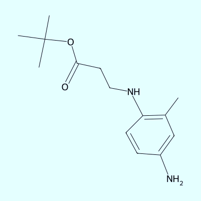 Cc1cc(N)ccc1NCCC(=O)OC(C)(C)C